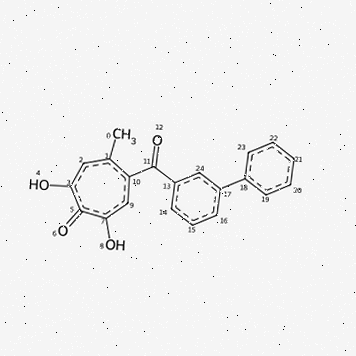 Cc1cc(O)c(=O)c(O)cc1C(=O)c1cccc(-c2ccccc2)c1